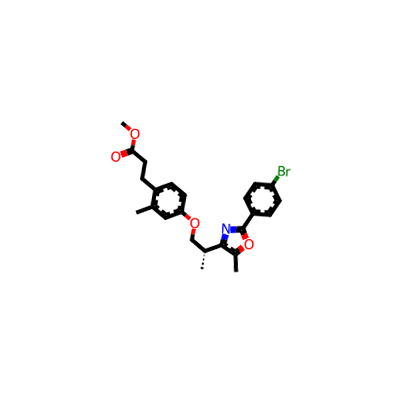 COC(=O)CCc1ccc(OC[C@@H](C)c2nc(-c3ccc(Br)cc3)oc2C)cc1C